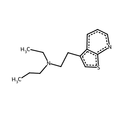 CCCN(CC)CCc1csc2ncccc12